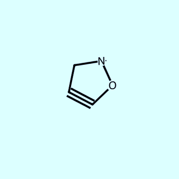 C1#CO[N]C1